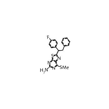 CSc1nc(N)nc2sc(C(Cc3ccccc3)c3ccc(F)cc3)nc12